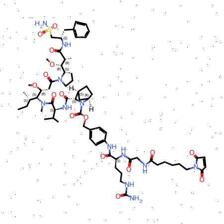 CC[C@H](C)[C@@H]([C@@H](CC(=O)N1CCC[C@H]1[C@H](OC)[C@@H](C)C(=O)N[C@@H](Cc1ccccc1)CS(N)(=O)=O)OC)N(C)C(=O)[C@@H](NC(=O)[C@@H]1[C@H]2CC[C@H](C2)N1C(=O)OCc1ccc(NC(=O)[C@H](CCCNC(N)=O)NC(=O)CNC(=O)CCCCCN2C(=O)C=CC2=O)cc1)C(C)C